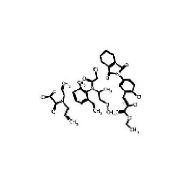 C=CCN(CC=C)C(=O)C(Cl)Cl.CCOC(=O)/C(Cl)=C/c1cc(N2C(=O)C3=C(CCCC3)C2=O)ccc1Cl.CCc1cccc(C)c1N(C(=O)CCl)C(C)COC